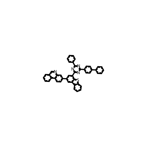 c1ccc(-c2ccc(-c3nc(-c4ccccc4)nc(-c4cc(-c5ccc6c(c5)ncc5ccccc56)cc5c4sc4ccccc45)n3)cc2)cc1